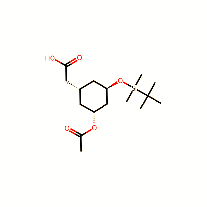 CC(=O)O[C@@H]1C[C@H](CC(=O)O)C[C@@H](O[Si](C)(C)C(C)(C)C)C1